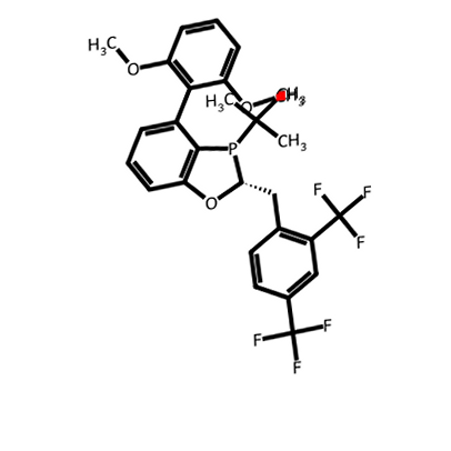 COc1cccc(OC)c1-c1cccc2c1P(C(C)(C)C)[C@H](Cc1ccc(C(F)(F)F)cc1C(F)(F)F)O2